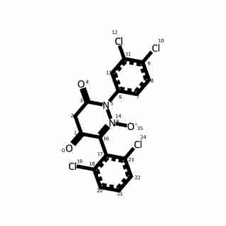 O=C1CC(=O)N(c2ccc(Cl)c(Cl)c2)[N+]([O-])=C1c1c(Cl)cccc1Cl